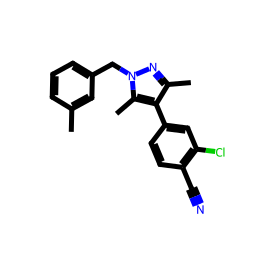 Cc1cccc(Cn2nc(C)c(-c3ccc(C#N)c(Cl)c3)c2C)c1